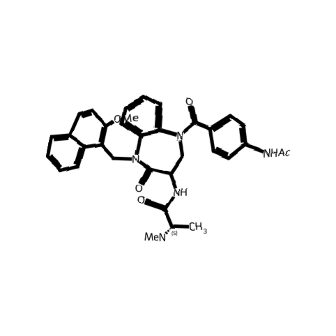 CN[C@@H](C)C(=O)NC1CN(C(=O)c2ccc(NC(C)=O)cc2)c2ccccc2N(Cc2c(OC)ccc3ccccc23)C1=O